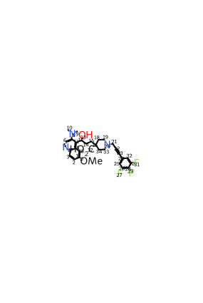 COc1ccc2ncc(N(C)C)c([C@@H](O)CCC3(C(=O)O)CCN(CC#Cc4cc(F)c(F)c(F)c4)CC3)c2c1